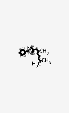 CC(C)CCCC(C)Cc1cnc(-c2cc[c]cc2)nc1